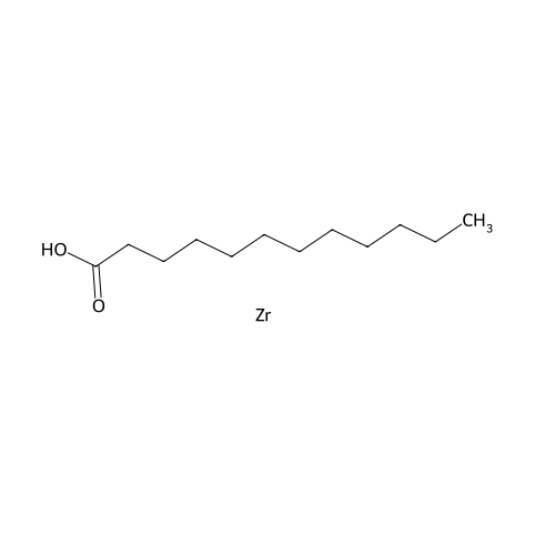 CCCCCCCCCCCC(=O)O.[Zr]